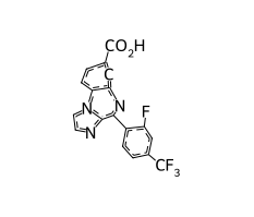 O=C(O)c1ccc2c(c1)nc(-c1ccc(C(F)(F)F)cc1F)c1nccn12